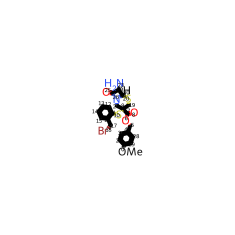 COc1ccc(COC(=O)C2(Sc3ccccc3CBr)CS[C@@H]3[C@H](N)C(=O)N3C2)cc1